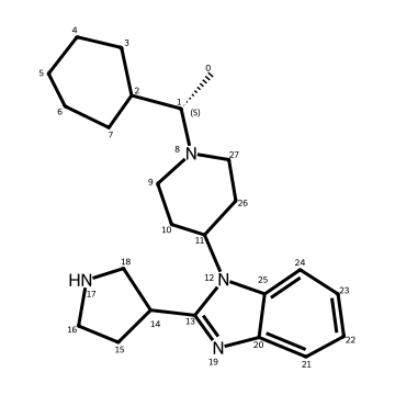 C[C@@H](C1CCCCC1)N1CCC(n2c(C3CCNC3)nc3ccccc32)CC1